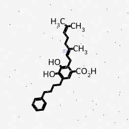 CC(C)=CCC/C(C)=C/Cc1c(C(=O)O)cc(CCCCc2ccccc2)c(O)c1O